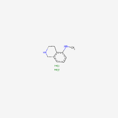 CNc1cccc2c1CCNC2.Cl.Cl